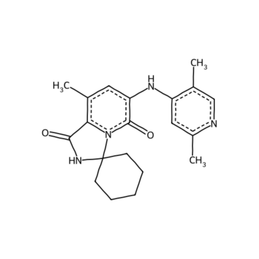 Cc1cc(Nc2cc(C)c3n(c2=O)C2(CCCCC2)NC3=O)c(C)cn1